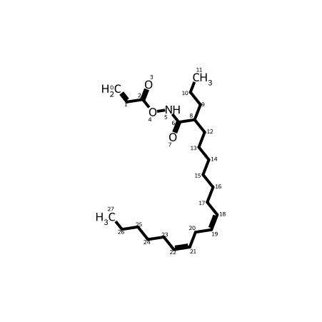 C=CC(=O)ONC(=O)C(CCC)CCCCCC/C=C\C/C=C\CCCCC